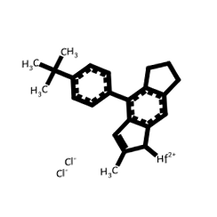 CC1=Cc2c(cc3c(c2-c2ccc(C(C)(C)C)cc2)CCC3)[CH]1[Hf+2].[Cl-].[Cl-]